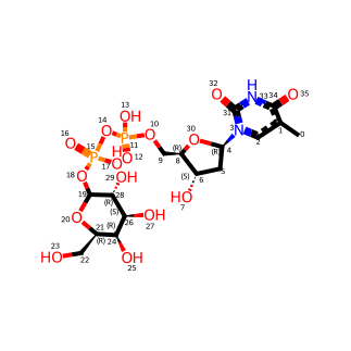 Cc1cn([C@H]2C[C@H](O)[C@@H](COP(=O)(O)OP(=O)(O)OC3O[C@H](CO)[C@H](O)[C@H](O)[C@H]3O)O2)c(=O)[nH]c1=O